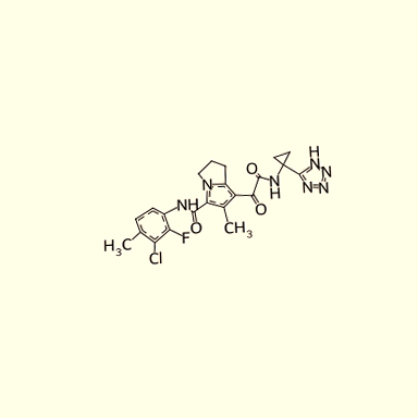 Cc1ccc(NC(=O)c2c(C)c(C(=O)C(=O)NC3(c4nnn[nH]4)CC3)c3n2CCC3)c(F)c1Cl